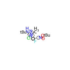 CC1=C(Cc2cccc(F)c2C2CCN(C(=O)OC(C)(C)C)CC2)N2N=C(Cl)C=C(NC(C)(C)C)C2=NC1